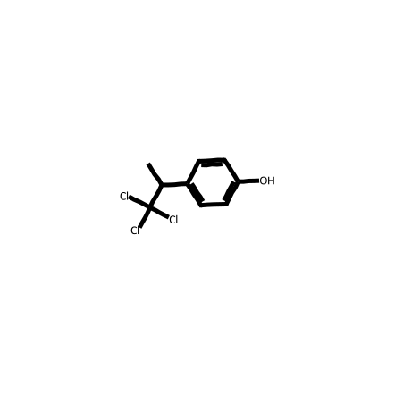 CC(c1ccc(O)cc1)C(Cl)(Cl)Cl